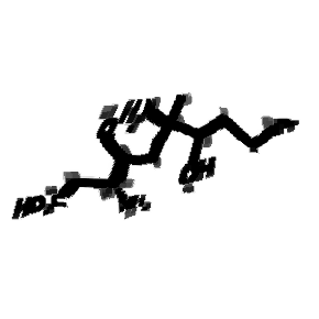 CC(C)CCC(O)C(C)(N)CC(=O)[C@H](N)CC(=O)O